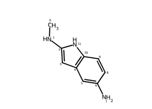 CNc1cc2cc(N)ccc2[nH]1